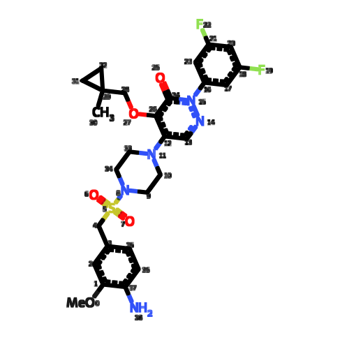 COc1cc(CS(=O)(=O)N2CCN(c3cnn(-c4cc(F)cc(F)c4)c(=O)c3OCC3(C)CC3)CC2)ccc1N